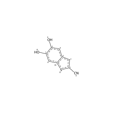 N#Cc1cc2cc(O)c(O)cc2s1